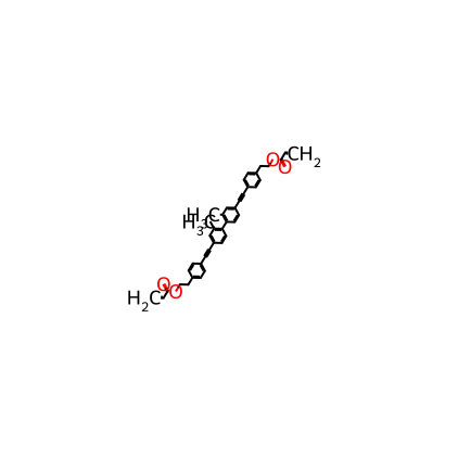 C=CC(=O)OCCc1ccc(C#Cc2ccc(-c3ccc(C#Cc4ccc(CCOC(=O)C=C)cc4)cc3C)c(C)c2)cc1